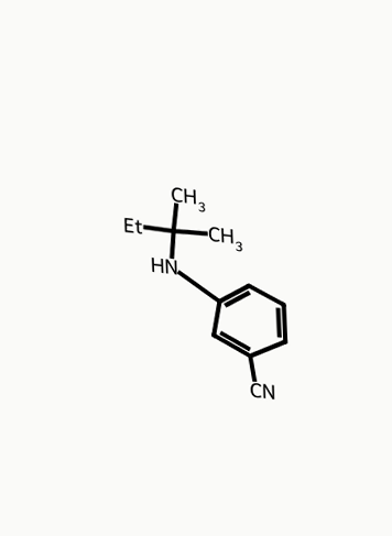 CCC(C)(C)Nc1cccc(C#N)c1